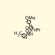 CCC[C@H]1CN(c2ccc(OC)cc2)C(=O)N1CC(=O)Nc1cc(C)ccn1